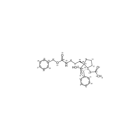 CC(=O)S[C@]1(Cc2ccccc2)CCC[C@@]1(CCCNC(=O)OCc1ccccc1)C(=O)O